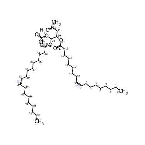 CCCCCCCC/C=C\CCCCCCCC(=O)OC(CN(C)C)C(OC(C)=O)OC(=O)CCCCCCC/C=C\CCCCCCCC